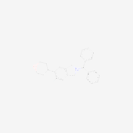 Fc1cc2c(cc1C1CCOCC1)CN(C(c1ccccc1)c1ccccc1)C2